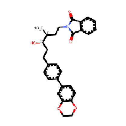 O=C(O)[C@@H](CCN1C(=O)c2ccccc2C1=O)[C@H](O)CCc1ccc(-c2ccc3c(c2)OCCO3)cc1